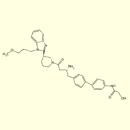 COCCCn1c([C@@H]2CCCN(C(=O)C[C@H](N)Cc3ccc(-c4ccc(NC(=O)CO)cc4)cc3)C2)nc2ccccc21